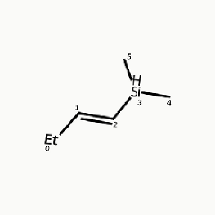 CCC=C[SiH](C)C